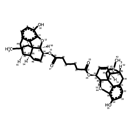 CN1CCC23c4c5ccc(O)c4O[C@H]2[C@@H](OC(=O)CCCCC(=O)O[C@H]2C=C[C@H]4[C@H]6Cc7ccc(O)c8c7C4(CCN6C)[C@H]2O8)C=C[C@H]3[C@H]1C5